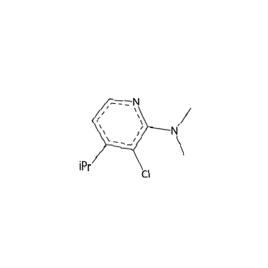 CC(C)c1ccnc(N(C)C)c1Cl